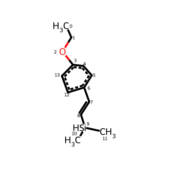 CCOc1ccc(C=C[SiH](C)C)cc1